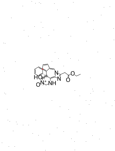 CCOC(=O)CC1=NC2=C3NC[N+](=O)[C@@H](O)[C@@]3(c3ccccc3)C3=CC=CC3=CN12